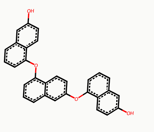 Oc1ccc2c(Oc3ccc4c(Oc5cccc6cc(O)ccc56)cccc4c3)cccc2c1